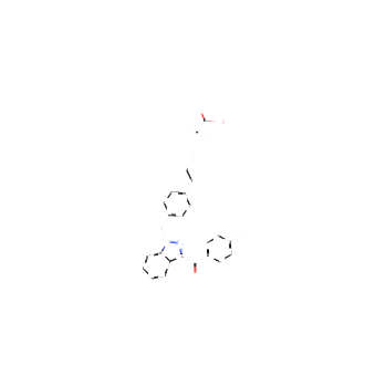 Cc1ccc(C(=O)c2nn(Cc3ccc(/C=C/COC(C)(C)C(=O)O)cc3)c3ccccc23)cc1